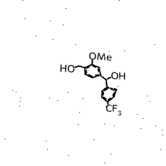 COc1cc(C(O)c2ccc(C(F)(F)F)cc2)ccc1CO